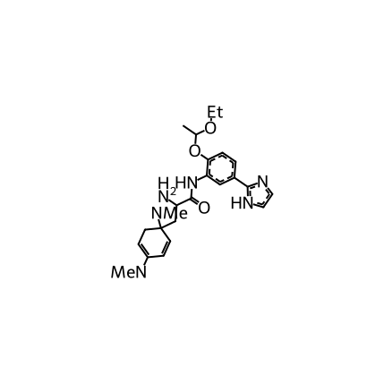 CCOC(C)Oc1ccc(-c2ncc[nH]2)cc1NC(=O)C(N)CC1(NC)C=CC(NC)=CC1